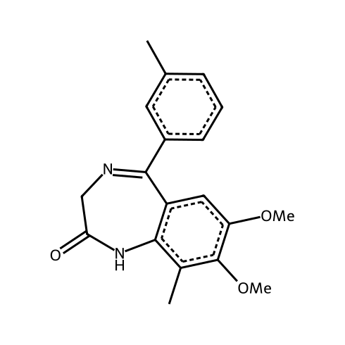 COc1cc2c(c(C)c1OC)NC(=O)CN=C2c1cccc(C)c1